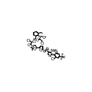 CC1(C)OC(c2ccco2)CN1C(=O)C(Cl)Cl.CCc1cccc(CC)c1N(COC)C(=O)CCl.Nc1c([N+](=O)[O-])cnn1-c1c(Cl)cc(C(F)(F)F)cc1Cl